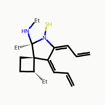 C=C/C=C1\C(=C/C=C)N(S)[C@](CC)(NCC)[C@]12CC[C@H]2CC